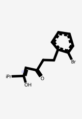 CC(C)/C(O)=C/C(=O)CCc1ccccc1Br